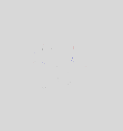 COc1ccc2c3c1O[C@@H]1[C@]34CCN(CC3CC3)[C@H]([C@@H]2O)[C@]4(O)CC[C@]12NC(=O)NC2=O